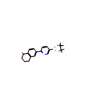 CC1(C)OB(c2ccc(-c3ccc4c(c3)CCCC4O)nc2)OC1(C)C